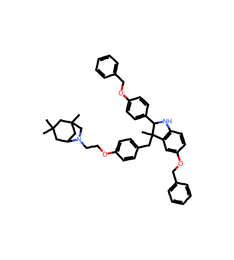 CC1(C)CC2CC(C)(CN2CCOc2ccc(CC3(C)c4cc(OCc5ccccc5)ccc4NC3c3ccc(OCc4ccccc4)cc3)cc2)C1